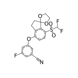 N#Cc1cc(F)cc(Oc2ccc(S(=O)(=O)C(F)F)c3c2CCC32OCCO2)c1